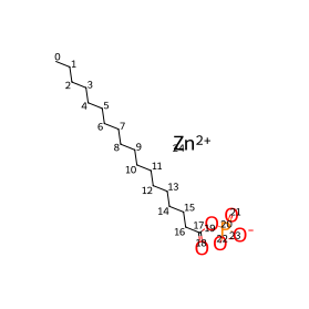 CCCCCCCCCCCCCCCCCC(=O)OP(=O)([O-])[O-].[Zn+2]